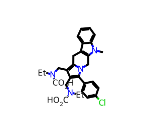 CCN(Cc1c(CN(CC)C(=O)O)c(-c2ccc(Cl)cc2)n2c1Cc1c(n(C)c3ccccc13)C2)C(=O)O